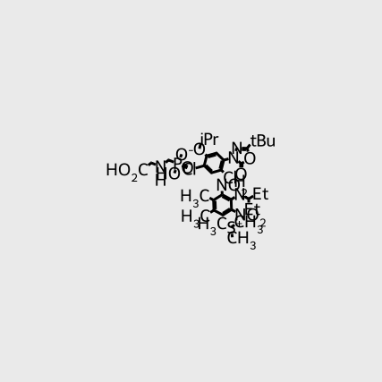 CC(C)Oc1cc(-n2nc(C(C)(C)C)oc2=O)c(Cl)cc1Cl.CCC(CC)Nc1c([N+](=O)[O-])cc(C)c(C)c1[N+](=O)[O-].C[S+](C)C.O=C(O)CNCP(=O)([O-])O